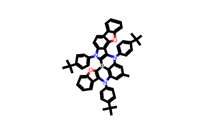 Cc1cc2c3c(c1)N(c1ccc(C(C)(C)C)cc1)c1c(n(-c4ccc(C(C)(C)C)cc4)c4ccc5c6ccccc6oc5c14)B3c1oc3ccccc3c1N2c1ccc(C(C)(C)C)cc1